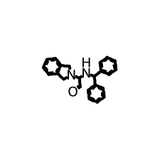 O=CC(NC(c1ccccc1)c1ccccc1)N1Cc2ccccc2C1